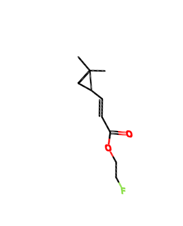 CC1(C)CC1C=CC(=O)OCCF